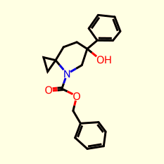 O=C(OCc1ccccc1)N1CC(O)(c2ccccc2)CCC12CC2